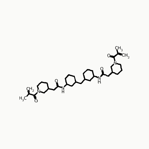 C=C(C)C(=O)N1CCCC(CC(=O)NC2CCCC(CC3CCCC(NC(=O)CC4CCCN(C(=O)C(=C)C)C4)C3)C2)C1